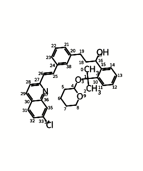 CC(C)(OC1CCCCO1)c1ccccc1C(O)CCc1cccc(C=Cc2ccc3ccc(Cl)cc3n2)c1